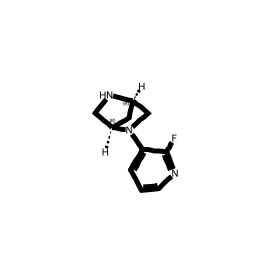 Fc1ncccc1N1C[C@H]2C[C@@H]1CN2